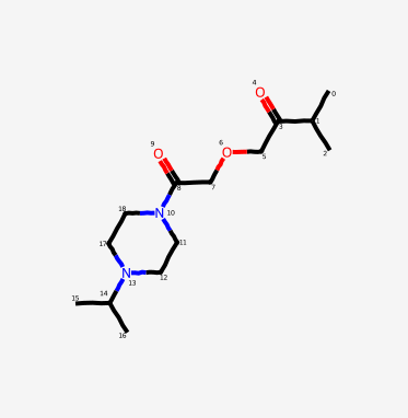 CC(C)C(=O)COCC(=O)N1CCN(C(C)C)CC1